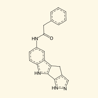 O=C(Cc1ccccc1)Nc1ccc2[nH]c3c(c2c1)Cc1cn[nH]c1-3